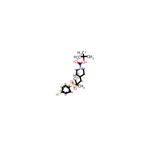 CC(C)(C)OC(=O)N1CCC(CC(C)(C)S(=O)(=O)c2ccc(F)cc2)CC1